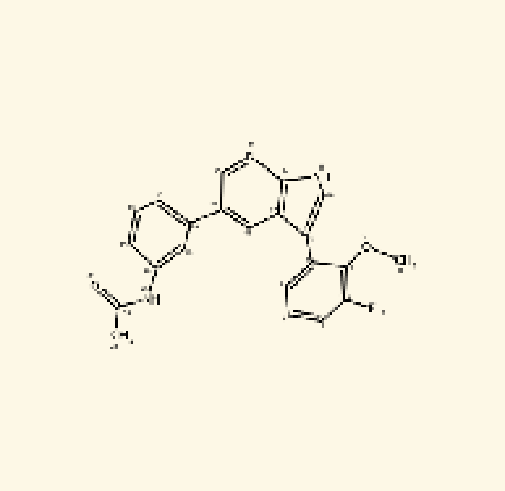 COc1c(F)cccc1-c1c[nH]c2ncc(-c3cccc(NC(C)=O)c3)cc12